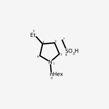 CCCCCCN1CCC(CC)C1.CS(=O)(=O)O